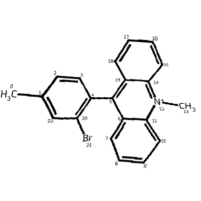 Cc1ccc(-c2c3ccccc3[n+](C)c3ccccc23)c(Br)c1